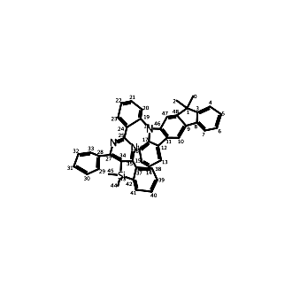 CC1(C)c2ccccc2-c2cc3c4ccccc4n(-c4ccccc4-c4nc(-c5ccccc5)c5c(n4)-c4ccccc4[Si]5(C)C)c3cc21